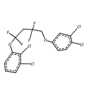 FC(F)(COc1ccc(Cl)c(Cl)c1)CC(F)(F)Oc1cccc(Cl)c1Cl